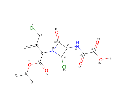 C=C(CCl)C(C(=O)OC(C)C)N1C(=O)C(NC(=O)C(=O)OC)C1Cl